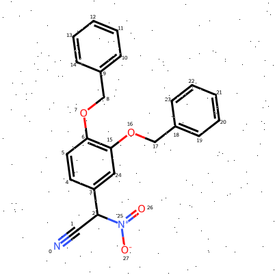 N#CC(c1ccc(OCc2ccccc2)c(OCc2ccccc2)c1)[N+](=O)[O-]